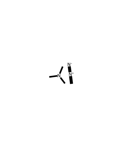 C=[N+]=[N-].CN(C)C